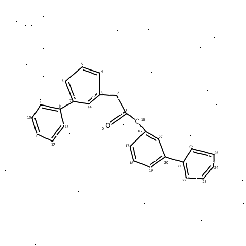 O=C(Cc1cccc(-c2ccccc2)c1)Cc1cccc(-c2ccccc2)c1